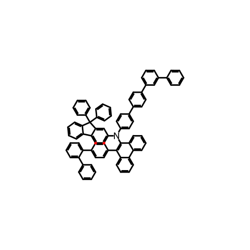 c1ccc(-c2cccc(-c3ccc(-c4ccc(N(c5ccc6c(c5)C(c5ccccc5)(c5ccccc5)c5ccccc5-6)c5c(-c6ccc(-c7ccccc7-c7ccccc7)cc6)c6ccccc6c6ccccc56)cc4)cc3)c2)cc1